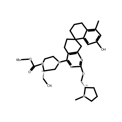 Cc1cc(O)cc2c1CCCC21CCc2c(nc(OC[C@@H]3CCCN3C)nc2N2CCN(C(=O)OC(C)(C)C)[C@@H](CC#N)C2)C1